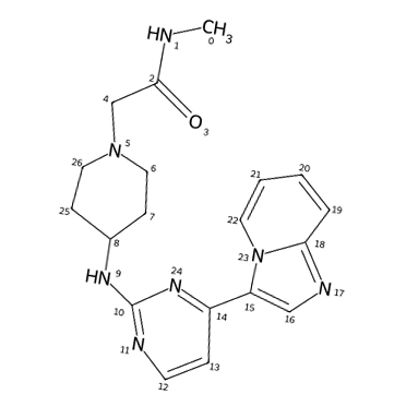 CNC(=O)CN1CCC(Nc2nccc(-c3cnc4ccccn34)n2)CC1